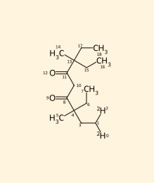 [2H]C([2H])CC(C)(CC)C(=O)CC(=O)C(C)(CC)CC